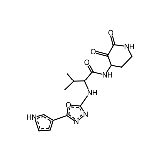 CC(C)C(Nc1nnc(-c2cc[nH]c2)o1)C(=O)NC1CCNC(=O)C1=O